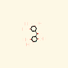 O=C(c1cc(O)c(O)c(O)c1)c1cc(O)c(O)c(F)c1O